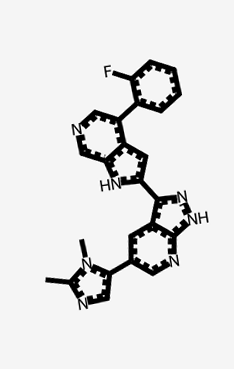 Cc1ncc(-c2cnc3[nH]nc(-c4cc5c(-c6ccccc6F)cncc5[nH]4)c3c2)n1C